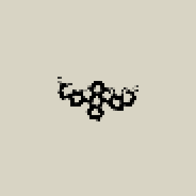 O=c1ccc2ccc3c(c2o1)Oc1ccc2c4c(c5ccccc5c-3c14)-c1ccc3ccc(=O)oc3c1O2